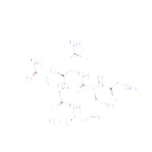 CC(C)C[C@H](NC(=O)[C@H](CCC(N)=O)NC(=O)[C@H](CC(N)=O)NC(=O)[C@H](CC(C)C)NC(=O)CN)C(=O)O